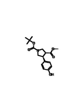 COC(=O)C1CN(C(=O)OC(C)(C)C)C[C@@H]1c1ccc(O)cc1